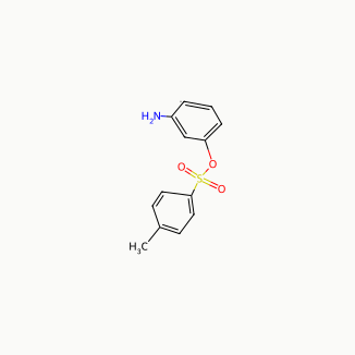 Cc1ccc(S(=O)(=O)Oc2cc[c]c(N)c2)cc1